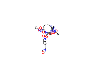 O=C(N[C@H]1CCCCC/C=C\[C@@H]2C[C@@]2(C(=O)NS(=O)(=O)C2CC2)NC(=O)[C@@H]2C[C@@H](OC(=O)N3Cc4ccc(CCCN5CCOCC5)cc4C3)CN2C1=O)OC1CCCC1